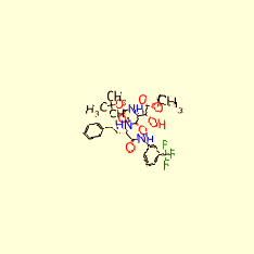 COC(=O)[C@@H](O)C(NC(=O)OC(C)(C)C)C(=O)N[C@@H](CCc1ccccc1)C(=O)Nc1cccc(C(F)(F)F)c1